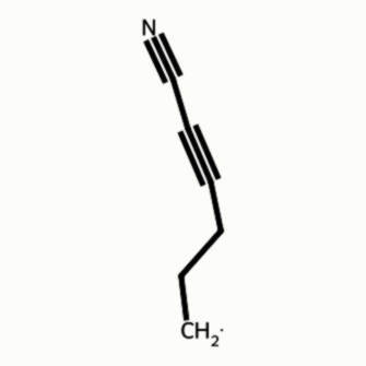 [CH2]CCC#CC#N